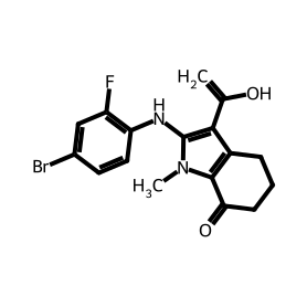 C=C(O)c1c2c(n(C)c1Nc1ccc(Br)cc1F)C(=O)CCC2